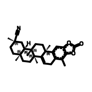 Cc1c2c(cc3oc(=O)oc13)[C@]1(C)CC[C@@]3(C)[C@@H]4C[C@](C)(C#N)CC[C@]4(C)CC[C@]3(C)C1=CC2